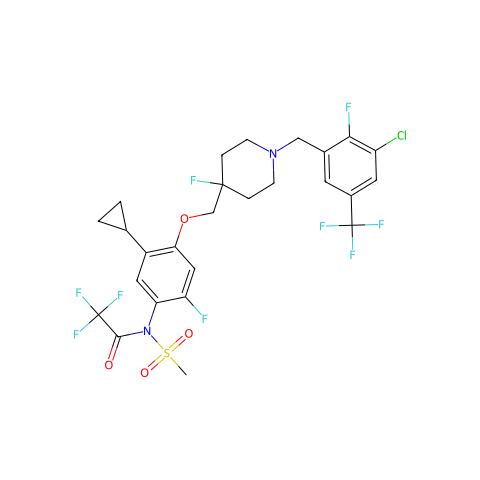 CS(=O)(=O)N(C(=O)C(F)(F)F)c1cc(C2CC2)c(OCC2(F)CCN(Cc3cc(C(F)(F)F)cc(Cl)c3F)CC2)cc1F